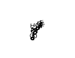 CC[C@H](OC)c1cc(C(O)(C(F)(F)F)C(F)(F)F)ccc1N1CCC(S(=O)(=O)c2ccccc2)CC1